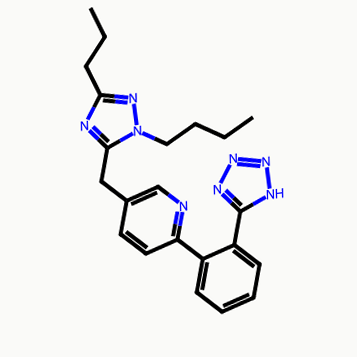 CCCCn1nc(CCC)nc1Cc1ccc(-c2ccccc2-c2nnn[nH]2)nc1